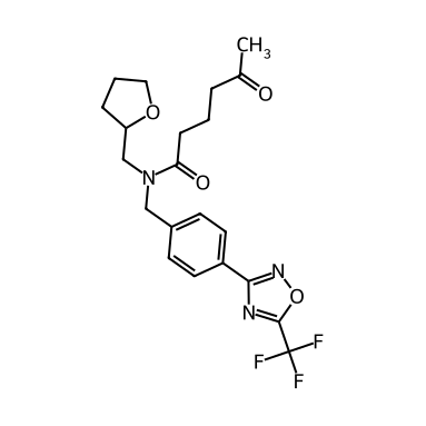 CC(=O)CCCC(=O)N(Cc1ccc(-c2noc(C(F)(F)F)n2)cc1)CC1CCCO1